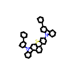 c1ccc(-c2cccc(-n3c4ccccc4c4c5cccc6c5c(cc43)Sc3cc(-n4c5ccccc5c5cc(-c7ccccc7)ccc54)ccc3-6)c2)cc1